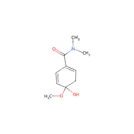 COC1(O)C=CC(C(=O)N(C)C)=CC1